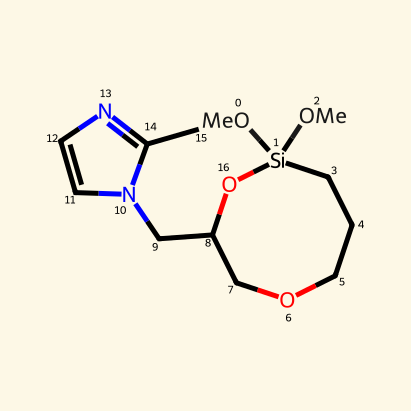 CO[Si]1(OC)CCCOCC(Cn2ccnc2C)O1